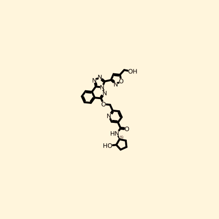 O=C(N[C@H]1CCCC1O)c1ccc(COc2nn3c(-c4cc(CO)on4)nnc3c3ccccc23)nc1